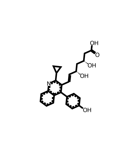 O=C(O)C[C@H](O)C[C@H](O)C=Cc1c(C2CC2)nc2ccccc2c1-c1ccc(O)cc1